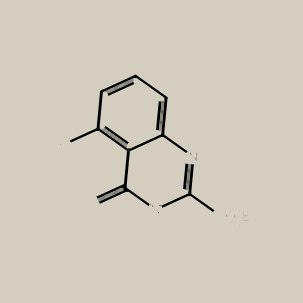 CCOC(=O)c1nc2cccc(C(F)(F)F)c2c(=O)[nH]1